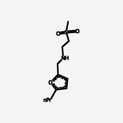 CCCc1ccc(CNCCS(C)(=O)=O)o1